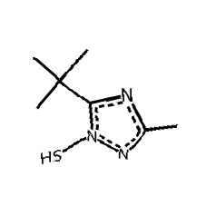 Cc1nc(C(C)(C)C)n(S)n1